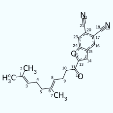 CC(C)=CCC/C(C)=C/CCC(=O)c1cc2cc(C#N)c(C#N)cc2o1